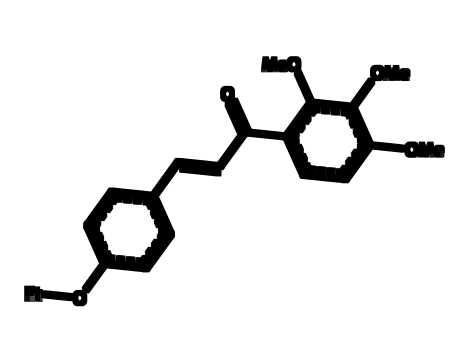 CCOc1ccc(C=CC(=O)c2ccc(OC)c(OC)c2OC)cc1